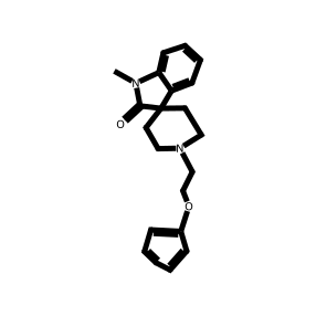 CN1C(=O)C2(CCN(CCOc3ccccc3)CC2)c2ccccc21